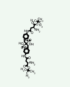 CC(C)(C)OC(=O)[C@@H](N)CC(=O)Nc1ccc(CC(Cc2ccc(NC(=O)C[C@H](N)C(=O)OC(C)(C)C)cc2)(P(=O)(O)O)P(=O)(O)O)cc1